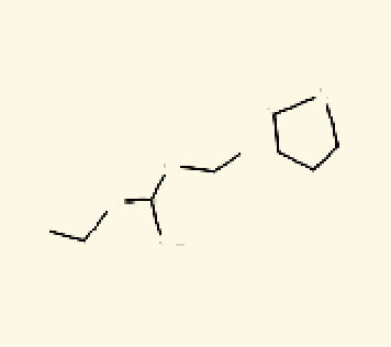 C1CCNC1.CCOC([SiH3])OCC